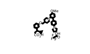 COc1ccc(-c2ccc(N3CCCC3)cc2)c(N2CCC(COc3cccc(C(CC(=O)O)C4CC4)c3)CC2)c1.O=C(O)C(F)(F)F